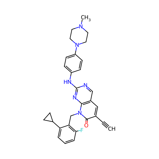 C#Cc1cc2cnc(Nc3ccc(N4CCN(C)CC4)cc3)nc2n(Cc2c(F)cccc2C2CC2)c1=O